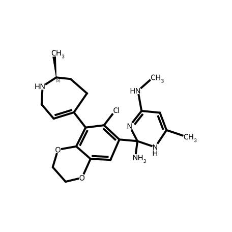 CNC1=NC(N)(c2cc3c(c(C4=CCN[C@@H](C)CC4)c2Cl)OCCO3)NC(C)=C1